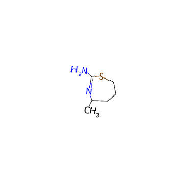 CC1CCCSC(N)=N1